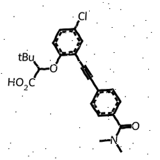 CN(C)C(=O)c1ccc(C#Cc2cc(Cl)ccc2OC(C(=O)O)C(C)(C)C)cc1